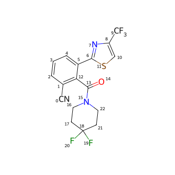 N#Cc1cccc(-c2nc(C(F)(F)F)cs2)c1C(=O)N1CCC(F)(F)CC1